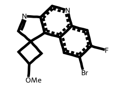 COC1CC2(C=Nc3cnc4cc(F)c(Br)cc4c32)C1